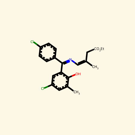 CCOC(=O)CC(C)=CN=C(c1ccc(Cl)cc1)c1cc(Cl)cc(C)c1O